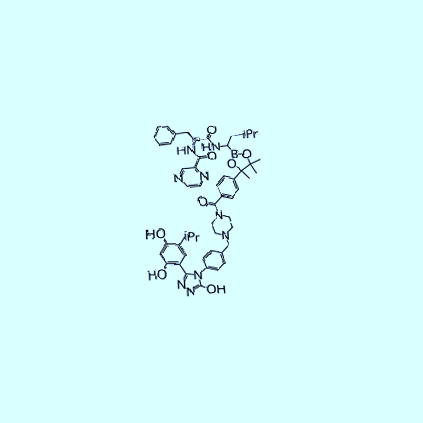 CC(C)CC(NC(=O)[C@H](Cc1ccccc1)NC(=O)c1cnccn1)B1OC(C)(C)C(C)(c2ccc(C(=O)N3CCN(Cc4ccc(-n5c(O)nnc5-c5cc(C(C)C)c(O)cc5O)cc4)CC3)cc2)O1